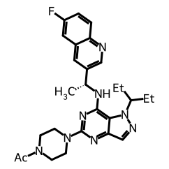 CCC(CC)n1ncc2nc(N3CCN(C(C)=O)CC3)nc(N[C@H](C)c3cnc4ccc(F)cc4c3)c21